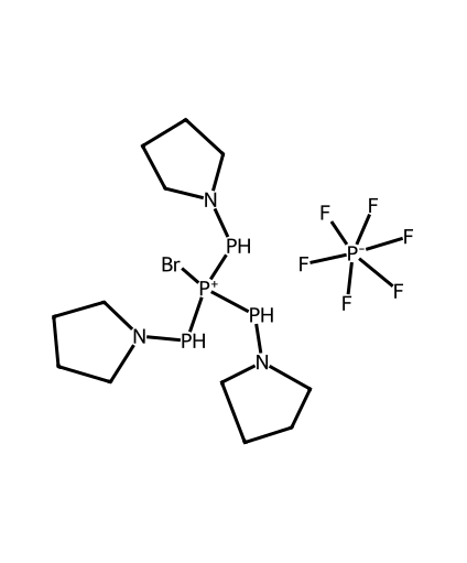 Br[P+](PN1CCCC1)(PN1CCCC1)PN1CCCC1.F[P-](F)(F)(F)(F)F